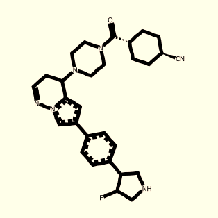 N#C[C@H]1CC[C@H](C(=O)N2CCN(C3CC=Nn4cc(-c5ccc(C6CNCC6F)cc5)cc43)CC2)CC1